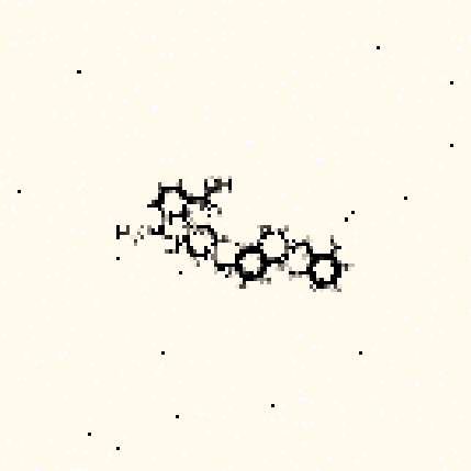 CC(C)N1C=CC=C(C(=O)O)C1N1CCN(Cc2ccc3c(c2)CCN(Cc2c(F)cccc2Cl)C3)CC1